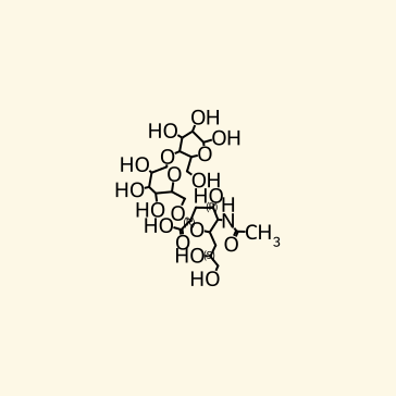 CC(=O)NC1C(C[C@H](O)CO)O[C@@](OCC2OC(OC3C(CO)OC(O)C(O)C3O)C(O)C(O)C2O)(C(=O)O)C[C@H]1O